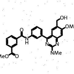 CNc1nc(-c2cccc(NC(=O)c3cccc(C(=O)OC)c3)c2)c2cc(CO)c(OC)cc2n1